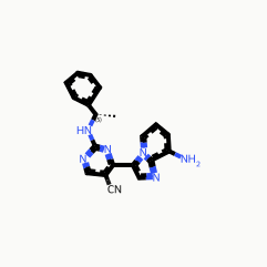 C[C@H](Nc1ncc(C#N)c(-c2cnc3c(N)cccn23)n1)c1ccccc1